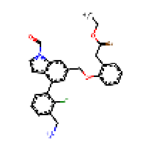 CCOC(=S)Cc1ccccc1OCc1cc(-c2cccc(CN)c2F)c2ccn(C=O)c2c1